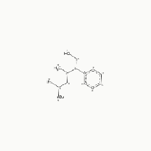 CCCCC(CC(C)[C@H](CO)c1ccccc1)C(C)C